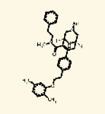 CC(=O)N1C[C@H]2CC(c3ccc(CCOc4cc(C)ccc4C)cc3)=C(C(=O)N(C)CCc3ccccc3)[C@@H](C1)N2